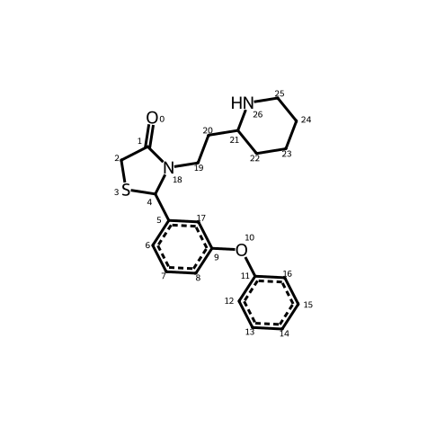 O=C1CSC(c2cccc(Oc3ccccc3)c2)N1CCC1CCCCN1